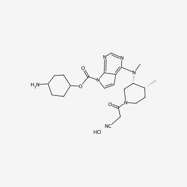 C[C@@H]1CCN(C(=O)CC#N)C[C@@H]1N(C)c1ncnc2c1ccn2C(=O)OC1CCC(N)CC1.Cl